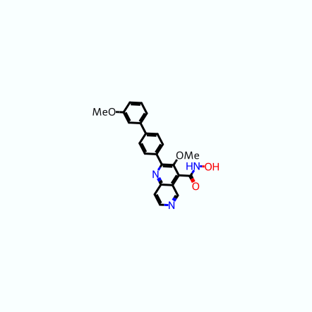 COc1cccc(-c2ccc(-c3nc4ccncc4c(C(=O)NO)c3OC)cc2)c1